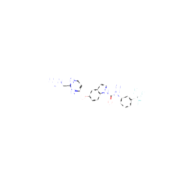 NCc1nccc(Oc2ccc3c(ccn3C(=O)Nc3cccc(C(F)(F)F)c3)c2)n1